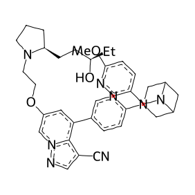 CC[C@@H](O)CC[C@@H]1CCCN1CCOc1cc(-c2ccc(N3CC4CC(C3)N4Cc3ccc(OC)nc3)nc2)c2c(C#N)cnn2c1